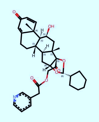 C[C@]12C=CC(=O)C=C1CC[C@@H]1[C@@H]2[C@@H](O)C[C@@]2(C)[C@H]1C[C@H]1O[C@@H](C3CCCCC3)O[C@]12C(=O)COC(=O)Cc1cccnc1